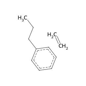 C=C.CCCc1ccccc1